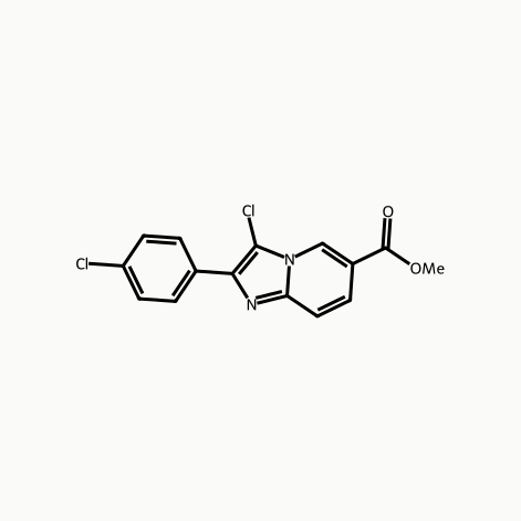 COC(=O)c1ccc2nc(-c3ccc(Cl)cc3)c(Cl)n2c1